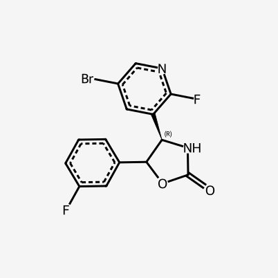 O=C1N[C@H](c2cc(Br)cnc2F)C(c2cccc(F)c2)O1